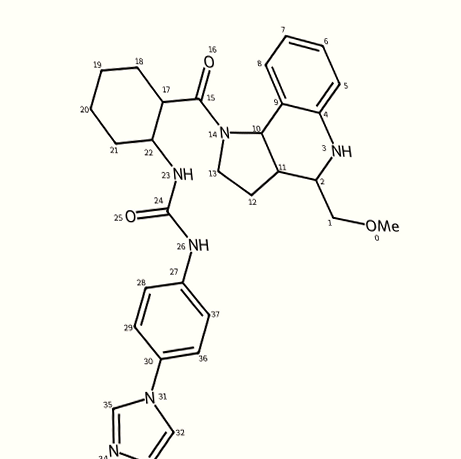 COCC1Nc2ccccc2C2C1CCN2C(=O)C1CCCCC1NC(=O)Nc1ccc(-n2ccnc2)cc1